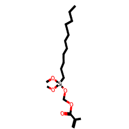 C=C(C)C(=O)OCO[Si](CCCCCCCCCCC)(OC)OC